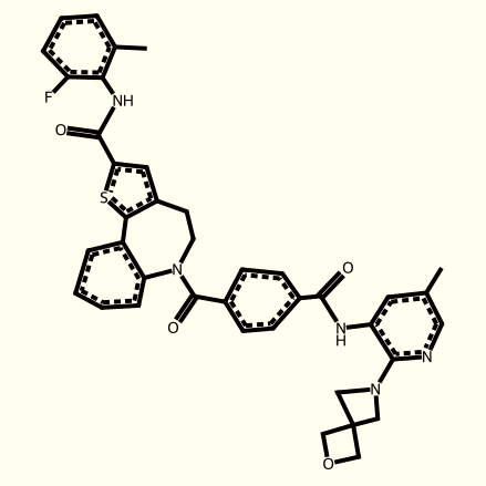 Cc1cnc(N2CC3(COC3)C2)c(NC(=O)c2ccc(C(=O)N3CCc4cc(C(=O)Nc5c(C)cccc5F)sc4-c4ccccc43)cc2)c1